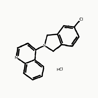 Cl.Clc1ccc2c(c1)CN(c1ccnc3ccccc13)C2